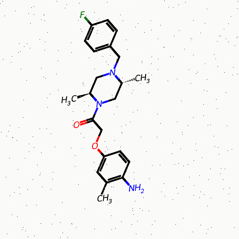 Cc1cc(OCC(=O)N2C[C@@H](C)N(Cc3ccc(F)cc3)C[C@@H]2C)ccc1N